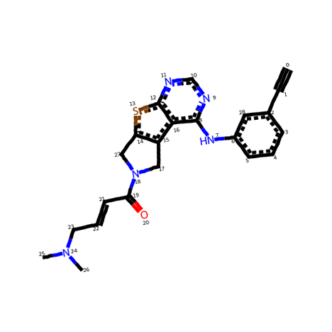 C#Cc1cccc(Nc2ncnc3sc4c(c23)CN(C(=O)C=CCN(C)C)C4)c1